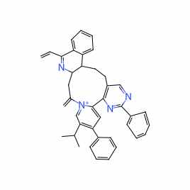 C=CC1=NC2CC(=C)[n+]3cc(C(C)C)c(-c4ccccc4)cc3-c3nc(-c4ccccc4)ncc3CCC2c2ccccc21